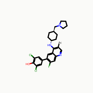 CC(=O)c1cnc2cc(F)c(-c3cc(Cl)c(O)c(Cl)c3)cc2c1N[C@H]1CC[C@H](CN2CCCC2)CC1